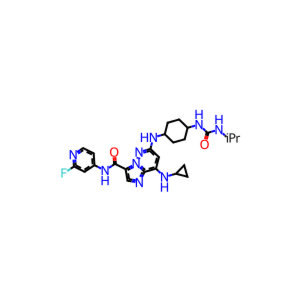 CC(C)NC(=O)NC1CCC(Nc2cc(NC3CC3)c3ncc(C(=O)Nc4ccnc(F)c4)n3n2)CC1